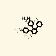 Nc1ccc(-c2c(N)ccc(-c3cccc(N)c3)c2-c2ccc(N)cc2)cc1